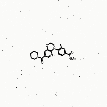 CNC(=O)c1ccc(N2CCOc3cc(C(=O)N4CCCCC4)cnc32)c(C)c1